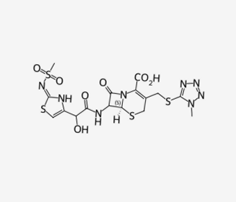 Cn1nnnc1SCC1=C(C(=O)O)N2C(=O)C(NC(=O)C(O)c3csc(=NS(C)(=O)=O)[nH]3)[C@@H]2SC1